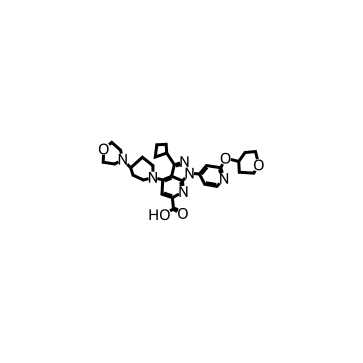 O=C(O)c1cc(N2CCC(N3CCOCC3)CC2)c2c(C3CCC3)nn(-c3ccnc(OC4CCOCC4)c3)c2n1